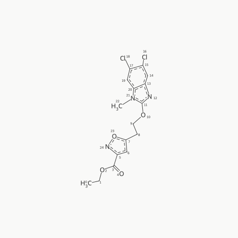 CCOC(=O)c1cc(CCOc2nc3cc(Cl)c(Cl)cc3n2C)on1